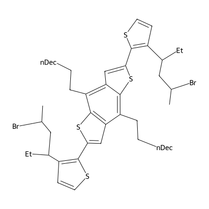 CCCCCCCCCCCCc1c2cc(-c3sccc3C(CC)CC(C)Br)sc2c(CCCCCCCCCCCC)c2cc(-c3sccc3C(CC)CC(C)Br)sc12